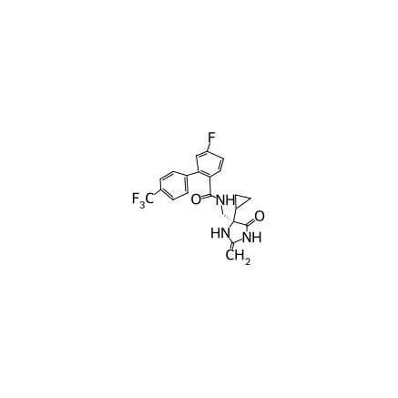 C=C1NC(=O)[C@](CNC(=O)c2ccc(F)cc2-c2ccc(C(F)(F)F)cc2)(C2CC2)N1